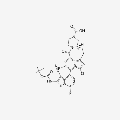 CC(C)(C)OC(=O)Nc1sc2c(F)ccc(-c3c(F)cc4c5c3c(Cl)nn5CC[C@H]3CN(C(=O)O)CCN3C4=O)c2c1C#N